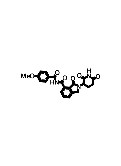 COc1ccc(C(=O)NC(=O)c2cccc3c2C(=O)N(C2CCC(=O)NC2=O)C3)cc1